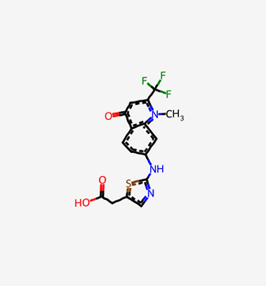 Cn1c(C(F)(F)F)cc(=O)c2ccc(Nc3ncc(CC(=O)O)s3)cc21